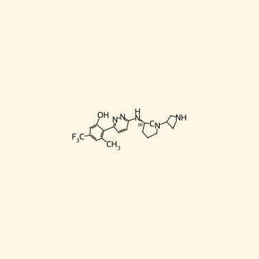 Cc1cc(C(F)(F)F)cc(O)c1-c1ccc(N[C@@H]2CCCN(C3CNC3)C2)nn1